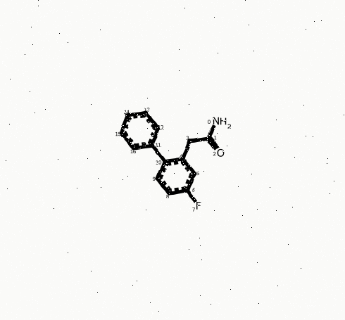 NC(=O)Cc1cc(F)ccc1-c1ccccc1